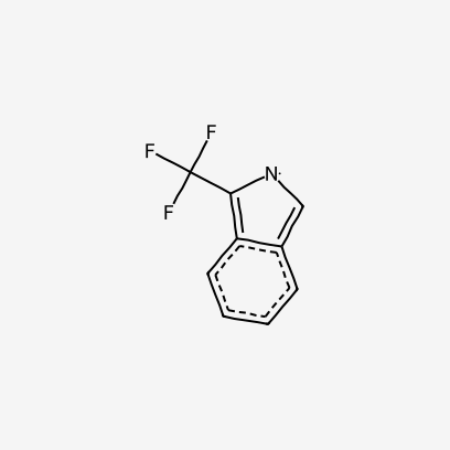 FC(F)(F)C1=c2ccccc2=C[N]1